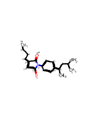 BC(C)CC(C)c1ccc(N2C(=O)CC(CCCC)C2=O)cc1